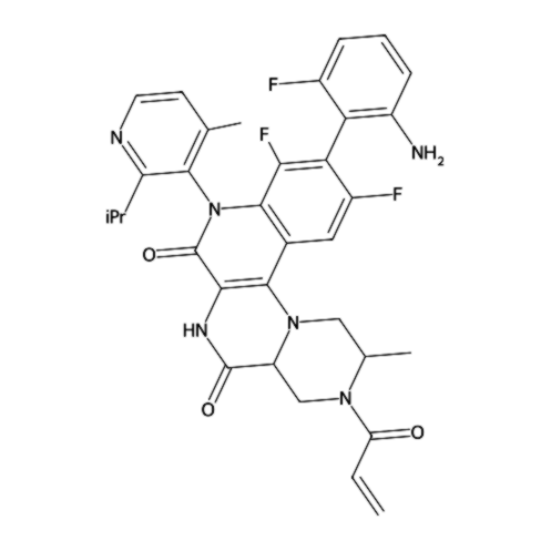 C=CC(=O)N1CC2C(=O)Nc3c(c4cc(F)c(-c5c(N)cccc5F)c(F)c4n(-c4c(C)ccnc4C(C)C)c3=O)N2CC1C